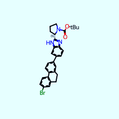 CC(C)(C)OC(=O)N1CCC[C@H]1c1nc2ccc(-c3ccc4c(c3)CCc3cc(Br)ccc3-4)cc2[nH]1